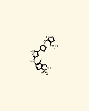 CCOC(=O)c1cn[nH]c1O[C@H]1CC[C@@H](c2cc(Nc3ccc4c(c3F)CNS4(=O)=O)n[nH]2)C1